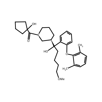 COCCCCC(O)(c1ccccc1Oc1c(C)cccc1C)[C@@H]1CCCN(C(=O)C2(O)CCCC2)C1